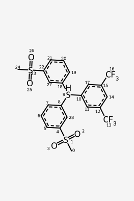 CS(=O)(=O)c1cccc([SH](c2cc(C(F)(F)F)cc(C(F)(F)F)c2)c2cccc(S(C)(=O)=O)c2)c1